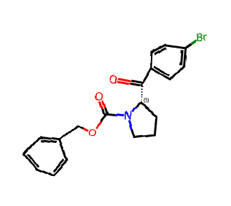 O=C(c1ccc(Br)cc1)[C@@H]1CCCN1C(=O)OCc1ccccc1